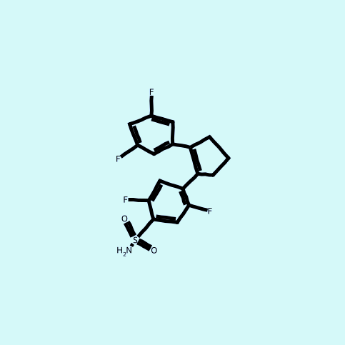 NS(=O)(=O)c1cc(F)c(C2=C(c3cc(F)cc(F)c3)CCC2)cc1F